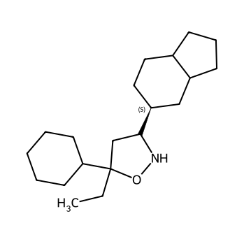 CCC1(C2CCCCC2)CC([C@H]2CCC3CCCC3C2)NO1